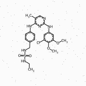 CCNS(=O)(=O)NCc1ccc(Nc2nc(Nc3cc(Cl)c(OC)c(OC)c3)ncc2C)cc1